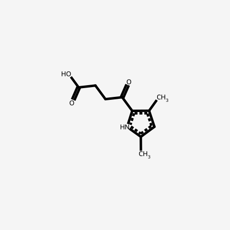 Cc1cc(C)c(C(=O)CCC(=O)O)[nH]1